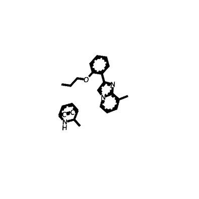 CC1Nc2ccc1cc2.CCCOc1ccccc1-c1cn2cccc(C)c2n1